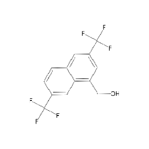 OCc1cc(C(F)(F)F)cc2ccc(C(F)(F)F)cc12